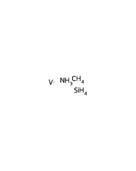 C.N.[SiH4].[V]